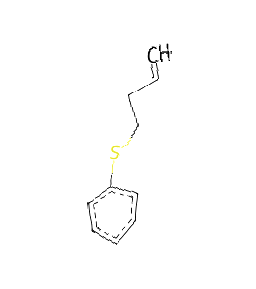 [CH]=CCCSc1ccccc1